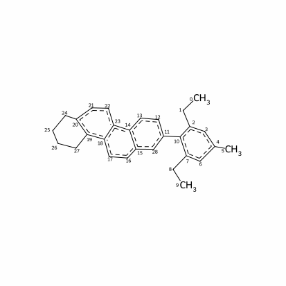 CCc1cc(C)cc(CC)c1-c1ccc2c(ccc3c4c(ccc32)CCCC4)c1